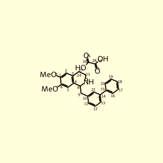 COc1cc2c(cc1OC)C(Cc1cccc(-c3ccccc3)c1)NCC2.O=C(O)C(=O)O